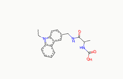 CCn1c2ccccc2c2cc(CNC(=O)C(C)NC(=O)O)ccc21